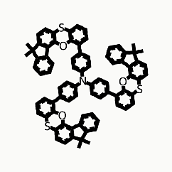 CC1(C)c2ccccc2-c2c1ccc1c2Oc2c(cccc2-c2ccc(N(c3ccc(-c4cccc5c4Oc4c(ccc6c4-c4ccccc4C6(C)C)S5)cc3)c3ccc(-c4cccc5c4Oc4c(ccc6c4-c4ccccc4C6(C)C)S5)cc3)cc2)S1